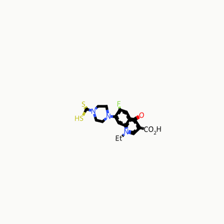 CCn1cc(C(=O)O)c(=O)c2cc(F)c(N3CCN(C(=S)S)CC3)cc21